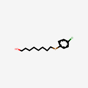 OCCCCCCCCSc1ccc(Cl)cc1